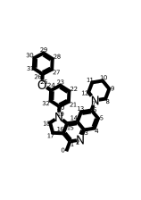 Cc1nc2ccc(N3CCCCC3)cc2c2c1CCN2c1cccc(Oc2ccccc2)c1